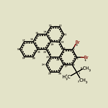 CC(C)(C)c1c(Br)c(Br)c2c3cccc4cc5ccccc5c(c5cccc1c52)c43